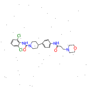 O=C(CCN1CCOCC1)Nc1ccc(C2CCN(C(=O)Nc3c(Cl)cccc3Cl)CC2)cc1